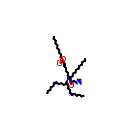 CCCCC/C=C\CCCC(CCC/C=C\CCCCC)CN(C(=O)CCN(C)C)C(CCCCC=CC(=O)OCCCCCCCCCC)CCCCCCCCCC